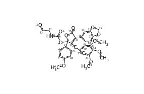 COc1ccc(C2(OC(=O)NCC=O)OC(=O)C(c3ccc4c(c3)OCO4)=C2Cc2cc(OC)c(OC)c(OC)c2)cc1